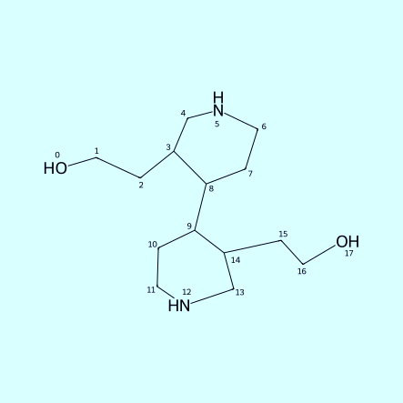 OCCC1CNCCC1C1CCNCC1CCO